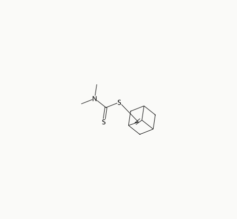 CN(C)C(=S)SC1C=C2C3CC2CC1C3